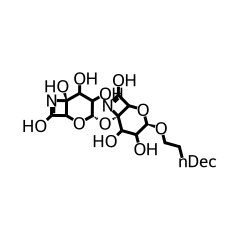 CCCCCCCCCCCCO[C@@H]1OC2C(O)=N[C@]2(O[C@@H]2OC3C(O)=N[C@]3(O)C(O)C2O)C(O)C1O